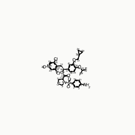 Nc1ccc(S(=O)(=O)N2CSCC2C(=O)O[C@@H](Cc2c(Cl)c[n+]([O-])cc2Cl)c2ccc(OC(F)F)c(OCC3CC3)c2)cc1